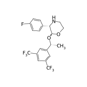 C[C@@H](O[C@@H]1OCCN[C@H]1c1ccc(F)cc1)c1cc(C(F)(F)F)cc(C(F)(F)F)c1